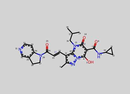 Cc1nn2c(O)c(C(=O)NC3CC3)c(=O)n(CC(C)C)c2c1/C=C/C(=O)N1CCc2cnccc21